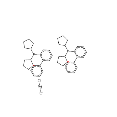 [Cl][Pd][Cl].c1ccc(-c2ccccc2P(C2CCCC2)C2CCCC2)cc1.c1ccc(-c2ccccc2P(C2CCCC2)C2CCCC2)cc1